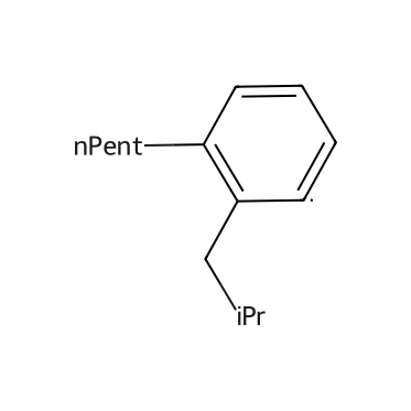 CCCCCc1ccc[c]c1CC(C)C